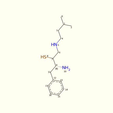 CC(C)CCNCC(S)[C@H](N)Cc1ccccc1